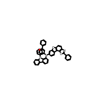 c1ccc(-c2cccc(N(c3ccc4c(c3)oc3ccc5nc(-c6ccccc6)oc5c34)c3cccc4c5ccccc5n(-c5ccccc5)c34)c2)cc1